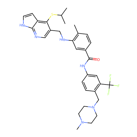 Cc1ccc(C(=O)Nc2ccc(CN3CCN(C)CC3)c(C(F)(F)F)c2)cc1NCc1cnc2[nH]ccc2c1SC(C)C